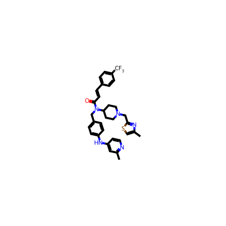 Cc1cc(Nc2ccc(CN(C(=O)C=Cc3ccc(C(F)(F)F)cc3)C3CCN(Cc4nc(C)cs4)CC3)cc2)ccn1